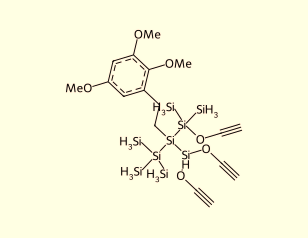 C#CO[SiH](OC#C)[Si](CCc1cc(OC)cc(OC)c1OC)([Si]([SiH3])([SiH3])[SiH3])[Si]([SiH3])([SiH3])OC#C